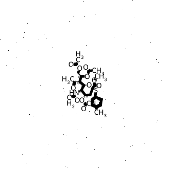 COC(=O)[C@]1(Sc2ccc(C)cc2)C[C@H](OC(C)=O)[C@@H](NC(C)=O)[C@H]([C@H](C(C)=O)[C@@H](COC(C)=O)OC(C)=O)O1